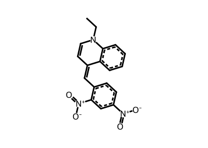 CCN1C=C/C(=C/c2ccc([N+](=O)[O-])cc2[N+](=O)[O-])c2ccccc21